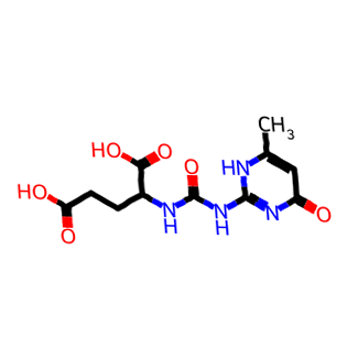 Cc1cc(=O)nc(NC(=O)NC(CCC(=O)O)C(=O)O)[nH]1